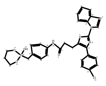 O=C(CCc1oc(-n2cnc3ccccc32)nc1-c1ccc(Cl)cc1)Nc1ccc(C[P]2(O)OCCCO2)cc1